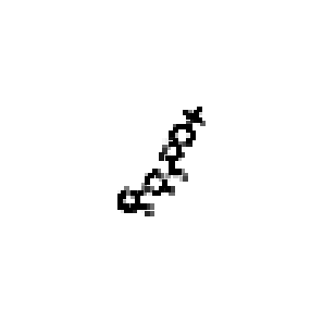 CC1CN(c2ncccc2Cl)CCN1C(=O)C1=NO[C@]2(CC[C@H](C(C)(C)C)CC2)C1